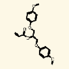 C=CC(=O)OC(COc1ccc(OC)cc1)COc1ccc(OC)cc1